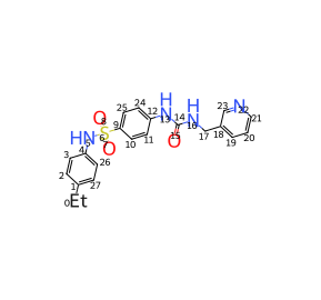 CCc1ccc(NS(=O)(=O)c2ccc(NC(=O)NCc3cccnc3)cc2)cc1